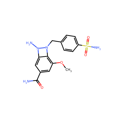 COc1cc(C(N)=O)cc2c1n(Cc1ccc(S(N)(=O)=O)cc1)n2N